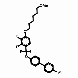 CCCc1ccc(-c2ccc(OC(F)(F)c3ccc(OCCCCCCOC)c(F)c3F)cc2)cc1